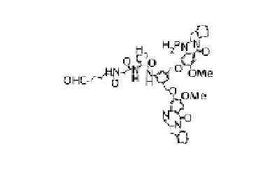 COc1cc2c(cc1OCc1cc(COc3cc4c(cc3OC)C(=O)N3c5ccccc5CC3N4P)cc(NC(=O)C(C)NC(=O)CNC(=O)CCCCC=O)c1)N=CC1Cc3ccccc3N1C2=O